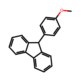 COc1ccc(C2c3ccccc3-c3ccccc32)cc1